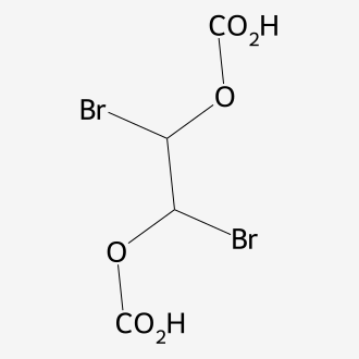 O=C(O)OC(Br)C(Br)OC(=O)O